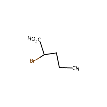 N#CCCC(Br)C(=O)O